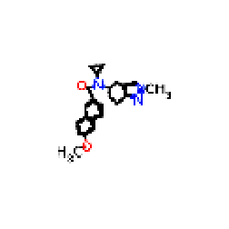 COc1ccc2cc(C(=O)N(C3CC3)C3CCc4nn(C)cc4C3)ccc2c1